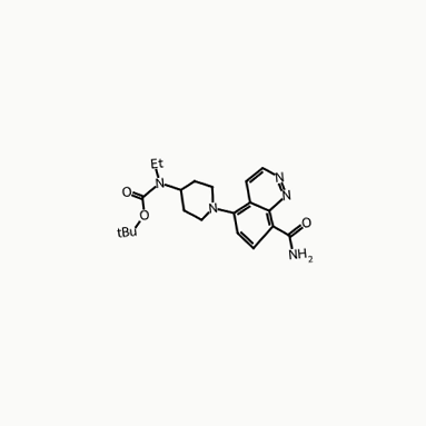 CCN(C(=O)OC(C)(C)C)C1CCN(c2ccc(C(N)=O)c3nnccc23)CC1